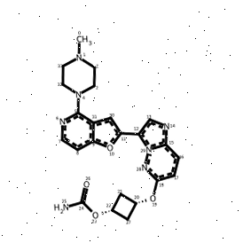 CN1CCN(c2nccc3oc(-c4cnc5ccc(O[C@H]6C[C@@H](OC(N)=O)C6)nn45)cc23)CC1